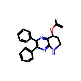 C=C(C)OC1CCNc2nc(-c3ccccc3)c(-c3ccccc3)nc21